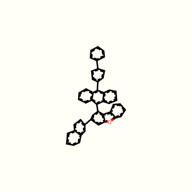 c1ccc(-c2ccc(-c3c4ccccc4c(-c4cc(-c5ccc6ccccc6c5)cc5oc6ccccc6c45)c4ccccc34)cc2)cc1